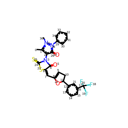 Cc1c(N2C(=O)/C(=C\C3=CCC(c4cccc(C(F)(F)F)c4)O3)SC2=S)c(=O)n(-c2ccccc2)n1C